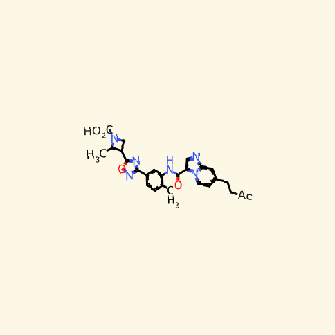 CC(=O)CCc1ccn2c(C(=O)Nc3cc(-c4noc(C5CN(C(=O)O)C5C)n4)ccc3C)cnc2c1